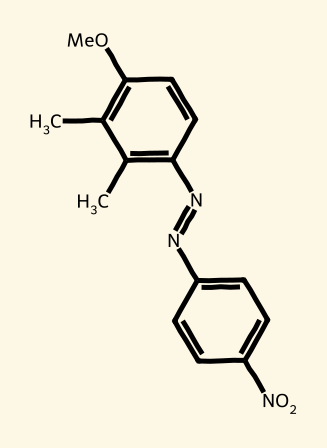 COc1ccc(N=Nc2ccc([N+](=O)[O-])cc2)c(C)c1C